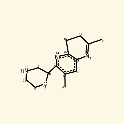 CC1=Nc2cc(C)c(C3CNCCO3)nc2CC1